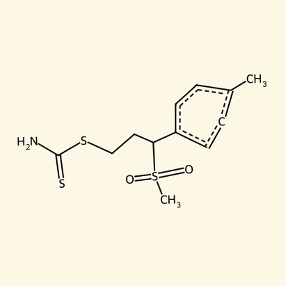 Cc1ccc(C(CCSC(N)=S)S(C)(=O)=O)cc1